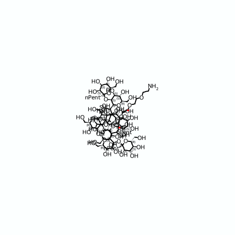 CCCCC[C@@]1(O[C@H]2[C@@H](O)[C@H](O)[C@@H](CO)O[C@H]2C(C(O)S)C(O)[C@H]2O[C@@H](OCCOCCOCCN)[C@@](O)(C(C(O)S)[C@@H]3O[C@H](CO)[C@@H](O)[C@H](O)[C@@H]3O[C@]3(CCCCC)O[C@H](CO)[C@@H](O)[C@H](O)[C@@H]3O)[C@](O)(C(C(O)S)[C@@H]3O[C@H](CO)[C@@H](O)[C@H](O)[C@@H]3O[C@]3(CCCCC)O[C@H](CO)[C@@H](O)[C@H](O)[C@@H]3O)[C@@]2(O)C(C(O)S)[C@@H]2O[C@H](CO)[C@@H](O)[C@H](O)[C@@H]2O[C@]2(CCCCC)O[C@H](CO)[C@@H](O)[C@H](O)[C@@H]2O)O[C@H](CO)[C@@H](O)[C@H](O)[C@@H]1O